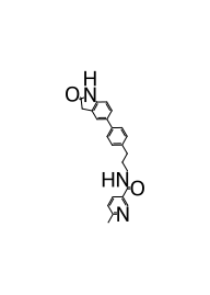 Cc1ccc(C(=O)NCCCc2ccc(-c3ccc4c(c3)CC(=O)N4)cc2)cn1